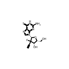 C#CC1(F)[C@@H](O)[C@@H](CO)O[C@H]1n1cnc2c(=S)[nH]c(N)nc21